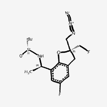 C[C@@H](N[S@+]([O-])C(C)(C)C)c1cc(F)cc2c1O[C@@](CF)(CN=[N+]=[N-])C2